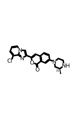 C[C@H]1CN(c2ccc3cc(-c4cn5cccc(Cl)c5n4)oc(=O)c3c2)CCN1